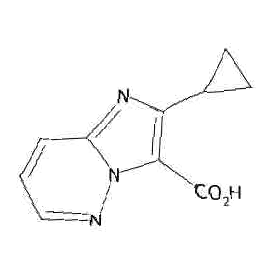 O=C(O)c1c(C2CC2)nc2cccnn12